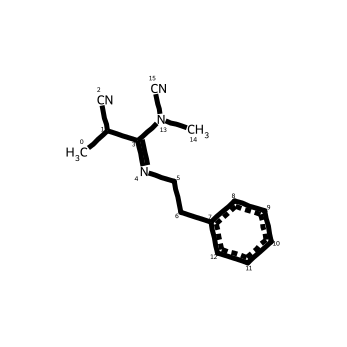 CC(C#N)C(=NCCc1ccccc1)N(C)C#N